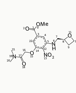 COC(=O)c1cc(NC[C@@H]2CCO2)c([N+](=O)[O-])c(OCC(=O)N(C)C)c1